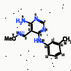 CO/N=C/c1c(N)ncnc1Nc1cccc(C)c1